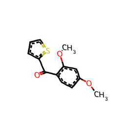 COc1ccc(C(=O)c2cccs2)c(OC)c1